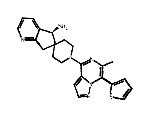 Cc1nc(N2CCC3(CC2)Cc2ncccc2[C@H]3N)c2ccnn2c1-c1cccs1